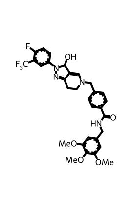 COc1cc(CNC(=O)c2ccc(CN3C=C4C(=NN(c5ccc(F)c(C(F)(F)F)c5)C4O)CC3)cc2)cc(OC)c1OC